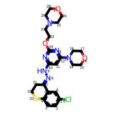 Clc1ccc2c(c1)/C(=N/Nc1cc(N3CCOCC3)nc(OCCN3CCOCC3)n1)CCS2